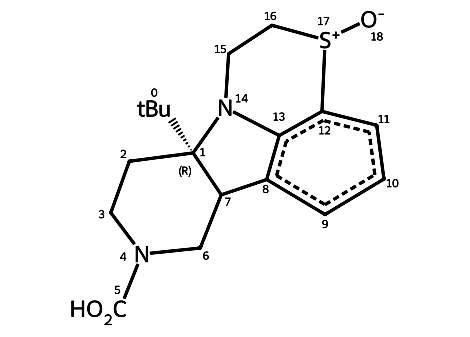 CC(C)(C)[C@@]12CCN(C(=O)O)CC1c1cccc3c1N2CC[S+]3[O-]